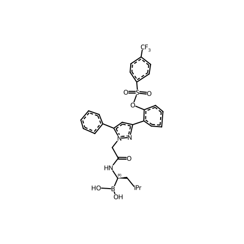 CC(C)C[C@H](NC(=O)Cn1nc(-c2ccccc2OS(=O)(=O)c2ccc(C(F)(F)F)cc2)cc1-c1ccccc1)B(O)O